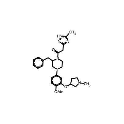 COc1ccc(N2CCN(C(=O)Cc3n[nH]c(C)n3)C(Cc3ccccc3)C2)cc1OC1CCN(C)C1